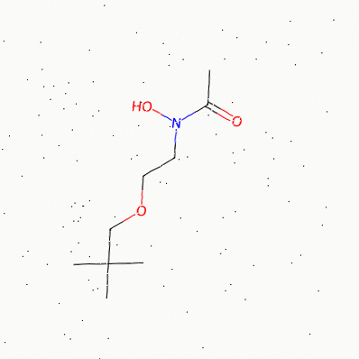 CC(=O)N(O)CCOCC(C)(C)C